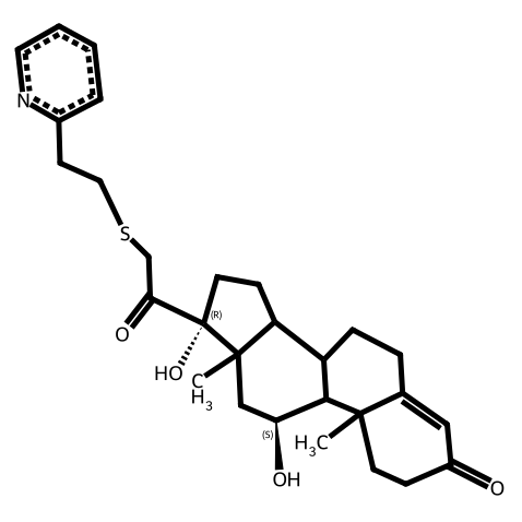 CC12CCC(=O)C=C1CCC1C2[C@@H](O)CC2(C)C1CC[C@]2(O)C(=O)CSCCc1ccccn1